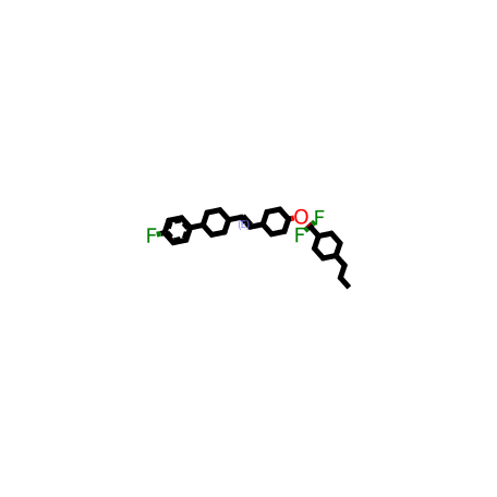 CCCC1CCC(C(F)(F)OC2CCC(/C=C/C3CCC(c4ccc(F)cc4)CC3)CC2)CC1